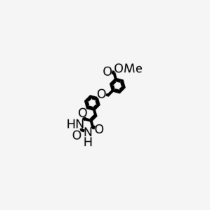 COC(=O)c1cccc(COc2cccc(C=C3C(=O)NC(=O)NC3=O)c2)c1